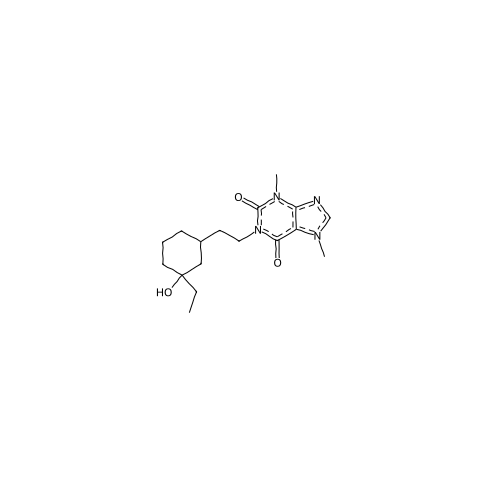 CCC1(O)CCCC(CCn2c(=O)c3c(ncn3C)n(C)c2=O)C1